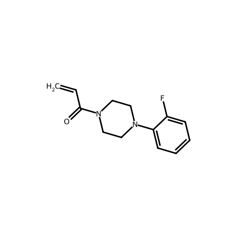 C=CC(=O)N1CCN(c2ccccc2F)CC1